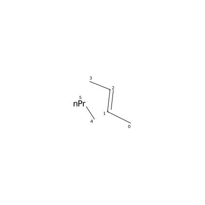 C/C=C/C.CCCC